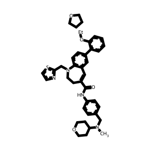 C1CCOC1.CCOc1ccccc1-c1ccc2c(c1)C=C(C(=O)Nc1ccc(CN(C)C3CCOCC3)cc1)CCN2Cc1nccs1